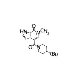 Cn1cc(C(=O)N2CCC(C(C)(C)C)CC2)c2cc[nH]c2c1=O